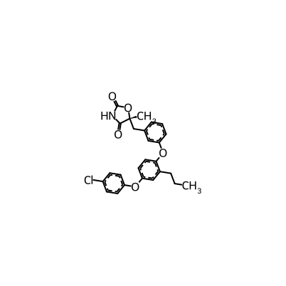 CCCc1cc(Oc2ccc(Cl)cc2)ccc1Oc1cccc(C[C@@]2(C)OC(=O)NC2=O)c1